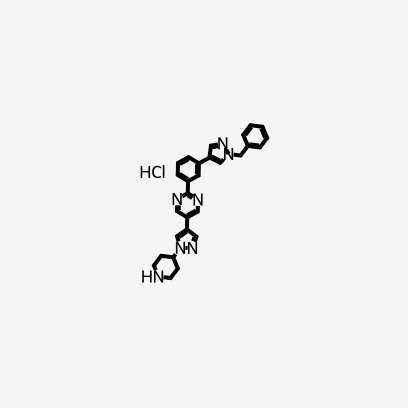 Cl.c1ccc(Cn2cc(-c3cccc(-c4ncc(-c5cnn(C6CCNCC6)c5)cn4)c3)cn2)cc1